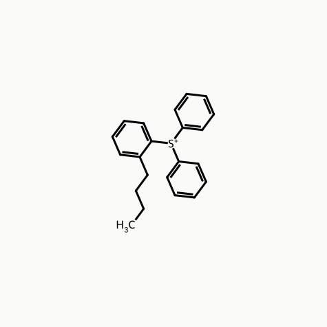 CCCCc1ccccc1[S+](c1ccccc1)c1ccccc1